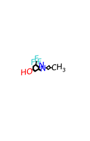 CC1CC(n2cc3cc(O)cc(C(F)(F)F)c3n2)C1